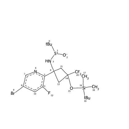 CC(C)(C)[S+]([O-])NC1(c2ncc(Br)cc2F)CC(O[Si](C)(C)C(C)(C)C)(C(F)(F)F)C1